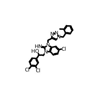 Cc1ccccc1Cn1cc(Cn2c(=N)n(CC(O)c3ccc(Cl)c(Cl)c3)c3ccc(Cl)cc32)nn1